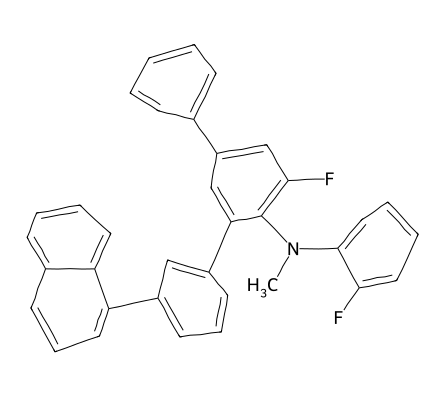 CN(c1ccccc1F)c1c(F)cc(-c2ccccc2)cc1-c1cccc(-c2cccc3ccccc23)c1